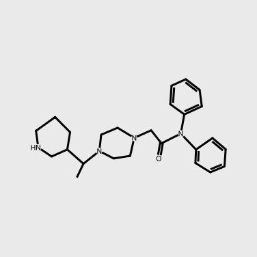 CC(C1CCCNC1)N1CCN(CC(=O)N(c2ccccc2)c2ccccc2)CC1